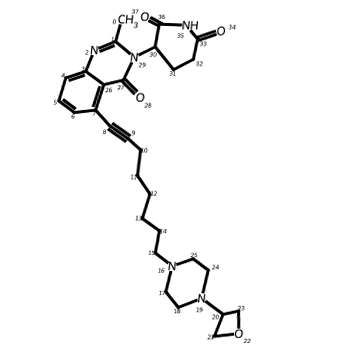 Cc1nc2cccc(C#CCCCCCCN3CCN(C4COC4)CC3)c2c(=O)n1C1CCC(=O)NC1=O